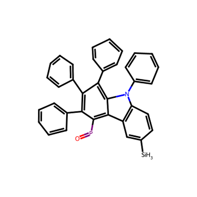 O=Pc1c(-c2ccccc2)c(-c2ccccc2)c(-c2ccccc2)c2c1c1cc([SiH3])ccc1n2-c1ccccc1